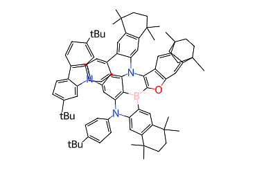 CC(C)(C)c1ccc(N2c3cc4c(cc3B3c5oc6cc7c(cc6c5N(c5cc6c(cc5-c5ccccc5)C(C)(C)CCC6(C)C)c5cc(-n6c8cc(C(C)(C)C)ccc8c8ccc(C(C)(C)C)cc86)cc2c53)C2(C)CCC7(C)CC2)C(C)(C)CCC4(C)C)cc1